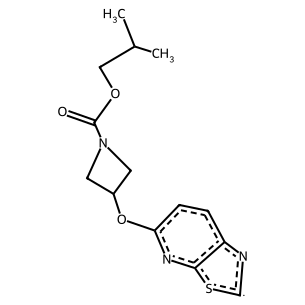 CC(C)COC(=O)N1CC(Oc2ccc3n[c]sc3n2)C1